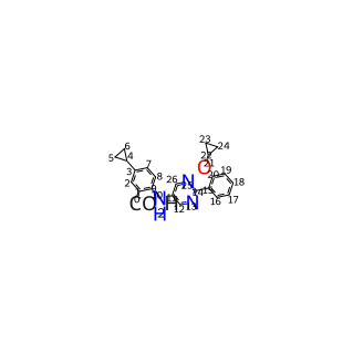 O=C(O)c1cc(C2CC2)ccc1Nc1cnc(-c2ccccc2OC2CC2)nc1